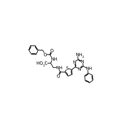 Nc1nc(Nc2ccccc2)nc(-c2ccc(C(=O)NCC(NC(=O)OCc3ccccc3)C(=O)O)s2)n1